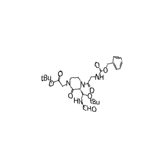 CC(C)(C)OC(=O)CN1CCN(C(=O)CNC(=O)OCc2ccccc2)[C@@H](C(NC=O)OC(C)(C)C)C1=O